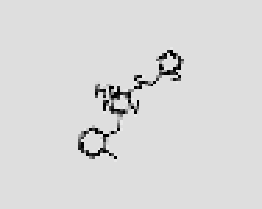 Cc1ccccc1Cc1n[nH]c(SCc2cccs2)n1